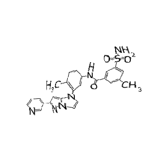 Cc1cc(C(=O)Nc2ccc(C)c(-n3ccn4nc(-c5cccnc5)cc34)c2)cc(S(N)(=O)=O)c1